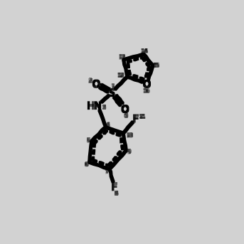 O=S(=O)(Nc1ccc(F)cc1F)c1ccco1